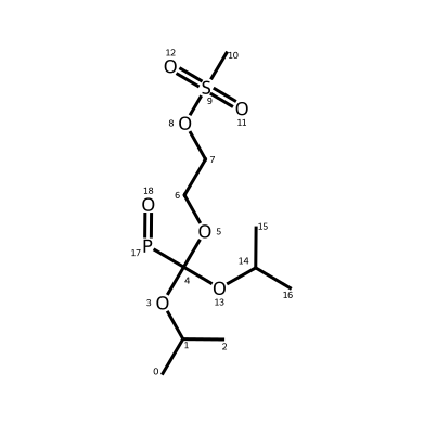 CC(C)OC(OCCOS(C)(=O)=O)(OC(C)C)P=O